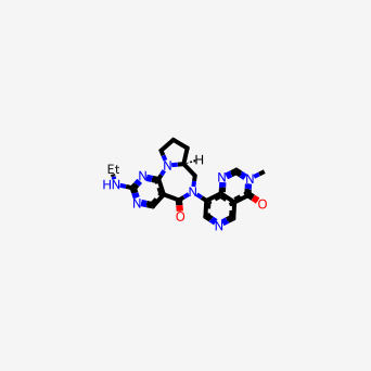 CCNc1ncc2c(n1)N1CCC[C@H]1CN(c1cncc3c(=O)n(C)cnc13)C2=O